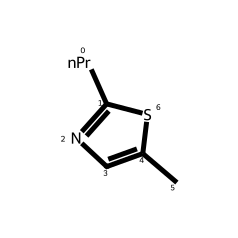 CCCc1ncc(C)s1